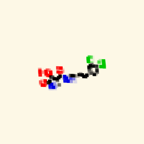 CN1CC(C(=O)NCCC=Cc2ccc(Cl)c(Cl)c2)=C(O)C1=O